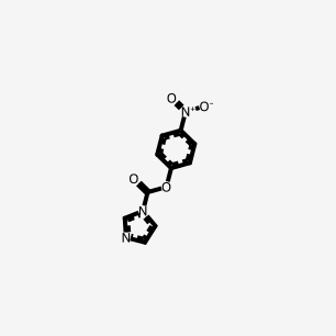 O=C(Oc1ccc([N+](=O)[O-])cc1)n1ccnc1